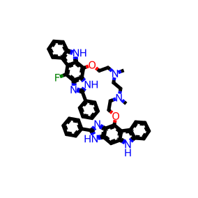 CN(CCOc1c2[nH]c(-c3ccccc3)nc2c(F)c2c1[nH]c1ccccc12)CCN(C)CCOc1c2nc(-c3ccccc3)[nH]c2cc2[nH]c3ccccc3c12